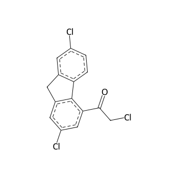 O=C(CCl)c1cc(Cl)cc2c1-c1ccc(Cl)cc1C2